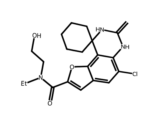 C=C1Nc2c(Cl)cc3cc(C(=O)N(CC)CCO)oc3c2C2(CCCCC2)N1